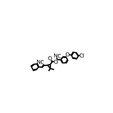 CC1(C)C(C(=O)OC(C#N)c2cccc(Oc3ccc(Cl)cc3)c2)C1C(C#N)=Cc1ccccc1